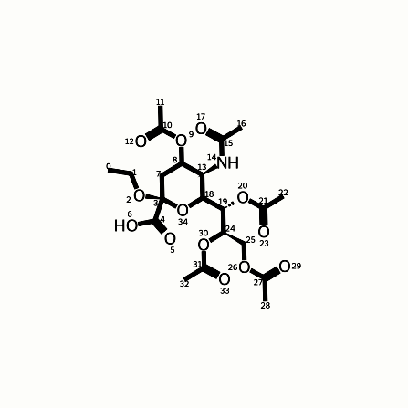 CCO[C@@]1(C(=O)O)CC(OC(C)=O)[C@@H](NC(C)=O)C([C@H](OC(C)=O)[C@@H](COC(C)=O)OC(C)=O)O1